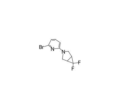 FC1(F)C2CN(c3cccc(Br)n3)CC21